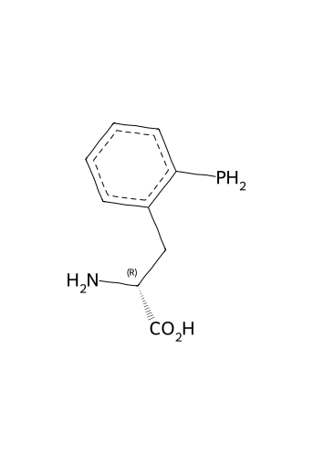 N[C@H](Cc1ccccc1P)C(=O)O